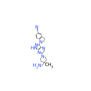 CC1(CN)CCN(c2cnc3c(N4CCc5cc(C#N)ccc54)n[nH]c3n2)CC1